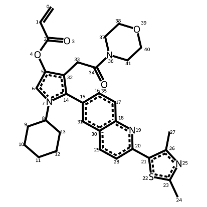 C=CC(=O)Oc1cn(C2CCCCC2)c(-c2ccc3nc(-c4sc(C)nc4C)ccc3c2)c1CC(=O)N1CCOCC1